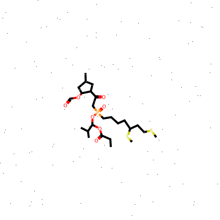 CCC(=O)OC(OP(=O)(CCCCC(CCSC)SC)CC(=O)C1CC(C)CC1OC=O)C(C)C